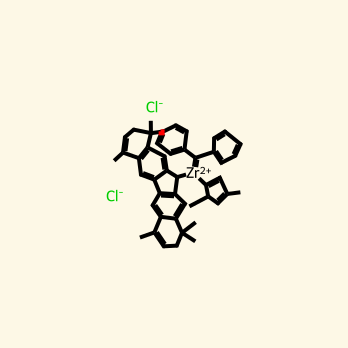 CC1=CC(C)[C]([Zr+2](=[C](c2ccccc2)c2ccccc2)[CH]2c3cc4c(cc3-c3cc5c(cc32)C(C)(C)CC=C5C)C(C)=CCC4(C)C)=C1.[Cl-].[Cl-]